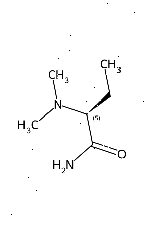 CC[C@@H](C(N)=O)N(C)C